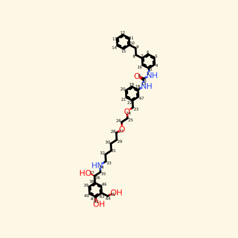 O=C(Nc1cccc(CCc2ccccc2)c1)Nc1cccc(COCCOCCCCCCNC[C@H](O)c2ccc(O)c(CO)c2)c1